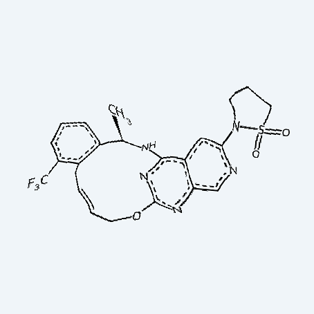 C[C@H]1Nc2nc(nc3cnc(N4CCCS4(=O)=O)cc23)OC/C=C\c2c1cccc2C(F)(F)F